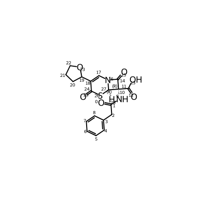 O=C(Cc1ccccc1)N[C@@]1(C(=O)O)C(=O)N2C=C(C3CCCO3)C(=O)S[C@@H]21